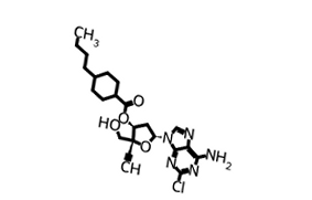 C#C[C@]1(CO)O[C@@H](n2cnc3c(N)nc(Cl)nc32)C[C@@H]1OC(=O)C1CCC(CCCC)CC1